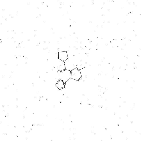 Cc1ccc(-n2cccc2)c(C(=O)N2CCCC2)c1